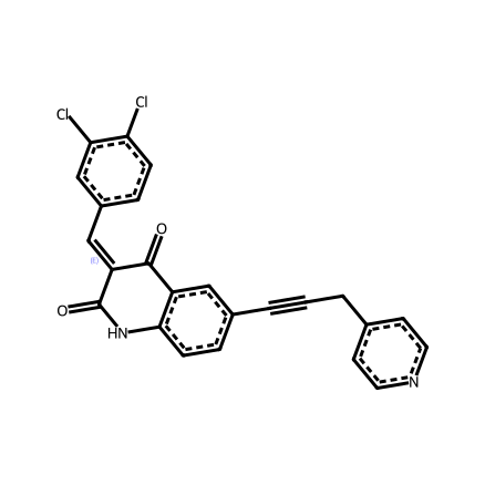 O=C1Nc2ccc(C#CCc3ccncc3)cc2C(=O)/C1=C\c1ccc(Cl)c(Cl)c1